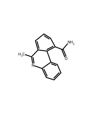 Cc1nc2ccccc2c2c(C(N)=O)cccc12